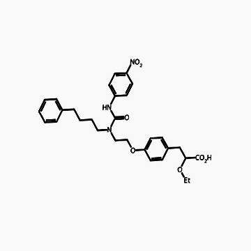 CCOC(Cc1ccc(OCCN(CCCCc2ccccc2)C(=O)Nc2ccc([N+](=O)[O-])cc2)cc1)C(=O)O